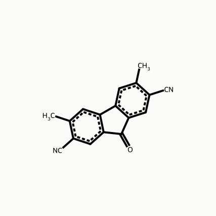 Cc1cc2c(cc1C#N)C(=O)c1cc(C#N)c(C)cc1-2